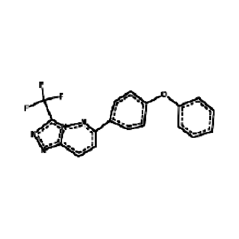 FC(F)(F)c1nnc2ccc(-c3ccc(Oc4ccccc4)cc3)nn12